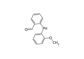 COc1ccccc1Pc1ccccc1C=O